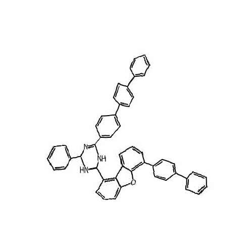 c1ccc(-c2ccc(-c3ccc(C4=NC(c5ccccc5)NC(c5cccc6oc7c(-c8ccc(-c9ccccc9)cc8)cccc7c56)N4)cc3)cc2)cc1